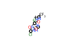 CC1(C)CN(C(=O)c2ccc(CN3C(=O)c4ccc(Cl)cc4NC(=O)[C@H]3Cc3ccccn3)cc2Cl)c2ncc(C(F)(F)F)cc21